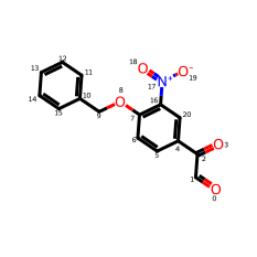 O=CC(=O)c1ccc(OCc2ccccc2)c([N+](=O)[O-])c1